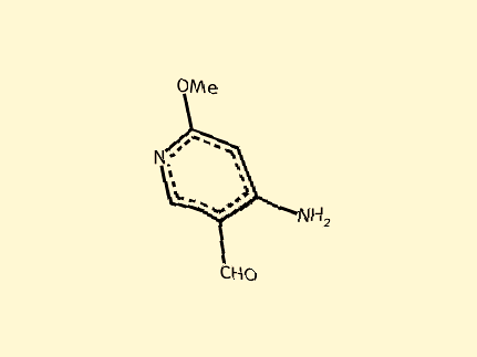 COc1cc(N)c(C=O)cn1